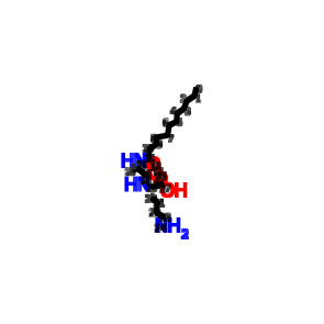 CCCCCCCCCCCC(=O)N[C@@H](C)C(=O)N[C@@H](CCCCN)C(=O)O